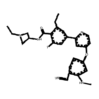 CCc1cc(-c2cc(Oc3ccc(C=N)c(NC)c3)ccn2)cc(F)c1C(=O)NC1CN(CC)C1